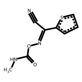 CNC(=O)ON=C(C#N)c1cccs1